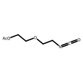 CC(=O)OCCOCCN=C=O